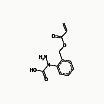 C=CC(=O)OCc1ccccc1N(N)C(=O)O